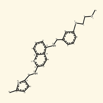 COCCOc1cccc(CNc2cccc3nc(NCc4ccc(C)o4)ccc23)c1